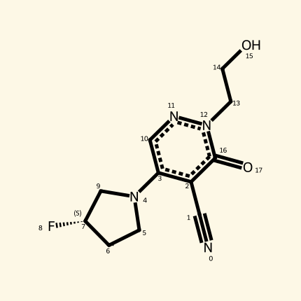 N#Cc1c(N2C[CH][C@H](F)C2)cnn(CCO)c1=O